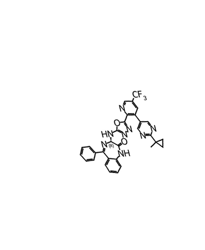 CC1(c2ncc(-c3cc(C(F)(F)F)cnc3-c3nnc(N[C@@H]4N=C(c5ccccc5)c5ccccc5NC4=O)o3)cn2)CC1